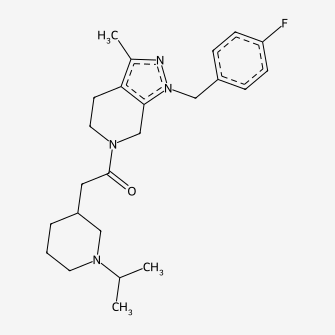 Cc1nn(Cc2ccc(F)cc2)c2c1CCN(C(=O)CC1CCCN(C(C)C)C1)C2